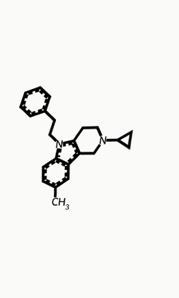 Cc1ccc2c(c1)c1c(n2CCc2ccccc2)CCN(C2CC2)C1